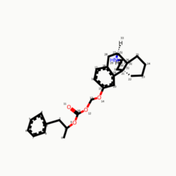 CC(Cc1ccccc1)OC(=O)OCOc1ccc2c(c1)[C@]13CCCC[C@@H]1[C@H](C2)NCC3